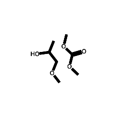 COC(=O)OC.COCC(C)O